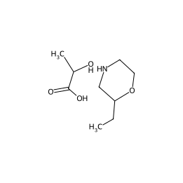 CC(O)C(=O)O.CCC1CNCCO1